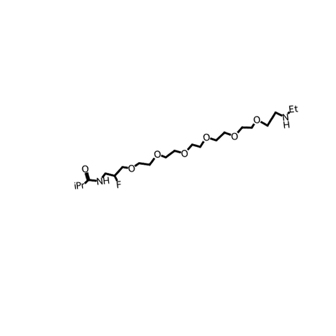 CCNCCOCCOCCOCCOCCOCCOCC(F)CNC(=O)C(C)C